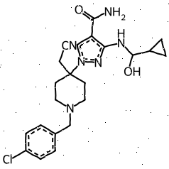 N#CCC1(n2cc(C(N)=O)c(NC(O)C3CC3)n2)CCN(Cc2ccc(Cl)cc2)CC1